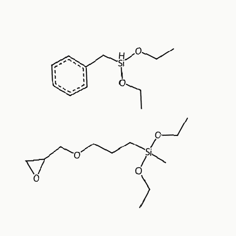 CCO[SiH](Cc1ccccc1)OCC.CCO[Si](C)(CCCOCC1CO1)OCC